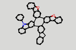 c1ccc(-n2c3ccccc3c3cc4c(cc32)-c2cc3c(cc2-c2cc5oc6ccccc6c5cc2-c2cc5c(cc2-4)-c2ccccc2C5)oc2ccccc23)cc1